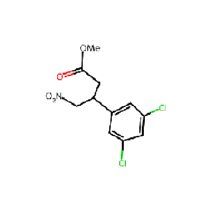 COC(=O)CC(C[N+](=O)[O-])c1cc(Cl)cc(Cl)c1